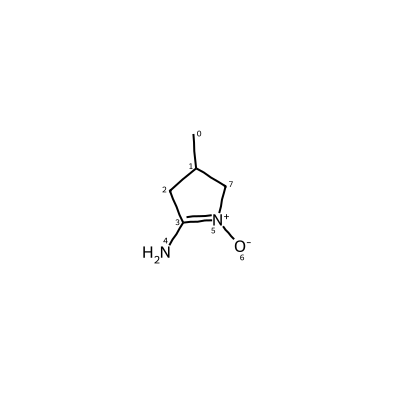 CC1CC(N)=[N+]([O-])C1